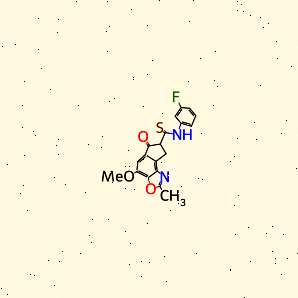 COc1cc2c(c3nc(C)oc13)CC(C(=S)Nc1cccc(F)c1)C2=O